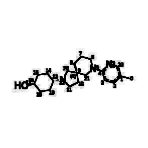 Cc1ccc(N2CCC[C@]3(CCN([C@H]4CC[C@H](O)CC4)C3)C2)nc1